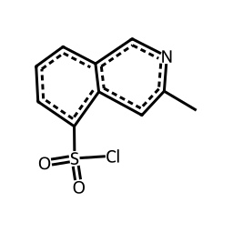 Cc1cc2c(S(=O)(=O)Cl)cccc2cn1